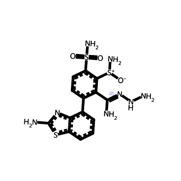 NN/N=C(\N)c1c(-c2cccc3sc(N)nc23)ccc(S(N)(=O)=O)c1[S+](N)[O-]